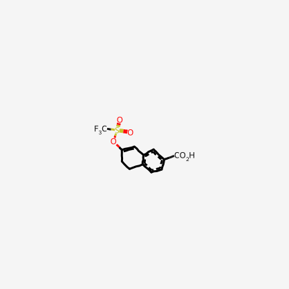 O=C(O)c1ccc2c(c1)C=C(OS(=O)(=O)C(F)(F)F)CC2